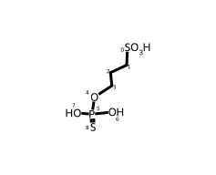 O=S(=O)(O)CCCOP(O)(O)=S